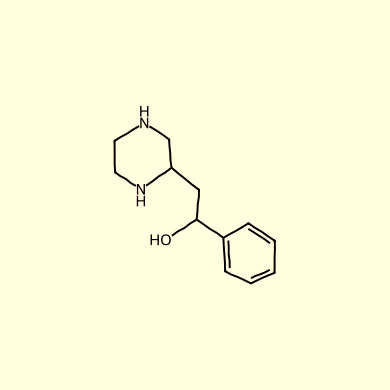 OC(CC1CNCCN1)c1ccccc1